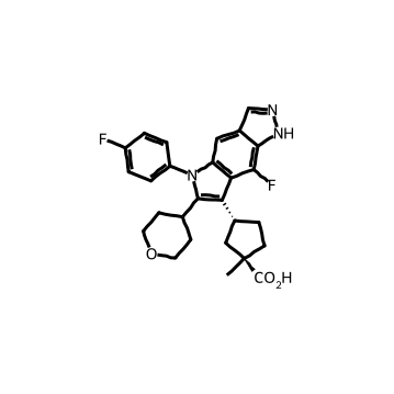 C[C@@]1(C(=O)O)CC[C@@H](c2c(C3CCOCC3)n(-c3ccc(F)cc3)c3cc4cn[nH]c4c(F)c23)C1